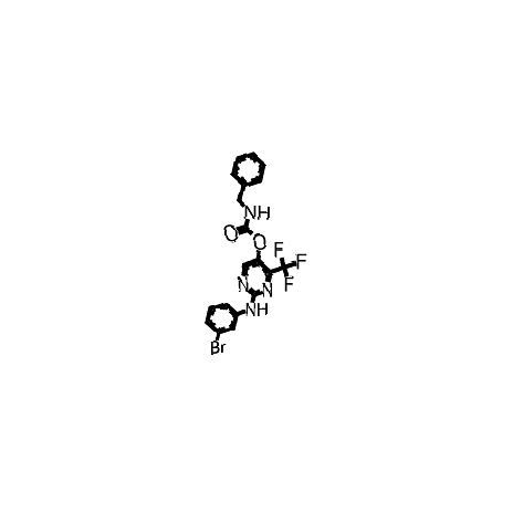 O=C(NCc1ccccc1)Oc1cnc(Nc2cccc(Br)c2)nc1C(F)(F)F